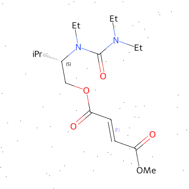 CCN(CC)C(=O)N(CC)[C@H](COC(=O)/C=C/C(=O)OC)C(C)C